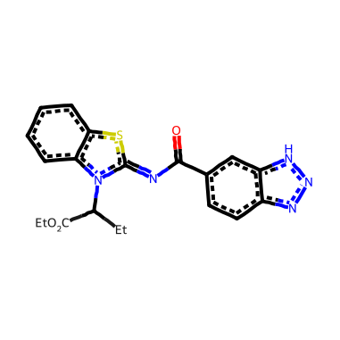 CCOC(=O)C(CC)n1c(=NC(=O)c2ccc3nn[nH]c3c2)sc2ccccc21